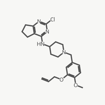 C=CCOc1cc(CN2CCC(Nc3nc(Cl)nc4c3CCC4)CC2)ccc1OC